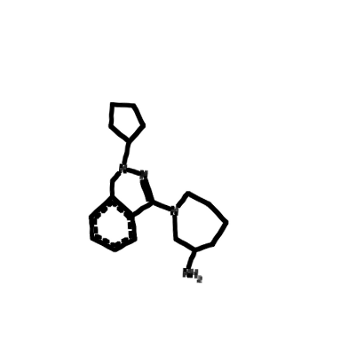 NC1CCCCN(C2=NN(C3CCCC3)Cc3ccccc32)C1